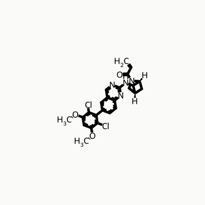 C=CC(=O)N1C[C@H]2C[C@@H]1C2Nc1ncc2cc(-c3c(Cl)c(OC)cc(OC)c3Cl)ccc2n1